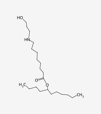 CCCCCCC(CCCC)OC(=O)CCCCCCCNCCCO